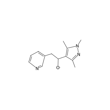 Cc1nn(C)c(C)c1C([O])Cc1cccnc1